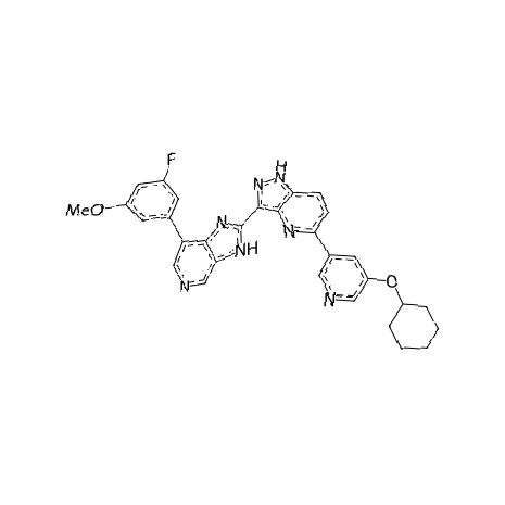 COc1cc(F)cc(-c2cncc3[nH]c(-c4n[nH]c5ccc(-c6cncc(OC7CCCCC7)c6)nc45)nc23)c1